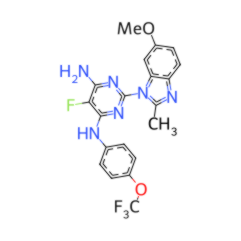 COc1ccc2nc(C)n(-c3nc(N)c(F)c(Nc4ccc(OC(F)(F)F)cc4)n3)c2c1